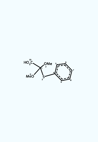 COC(OC)(Sc1ccccc1)C(=O)O